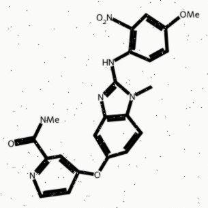 CNC(=O)c1cc(Oc2ccc3c(c2)nc(Nc2ccc(OC)cc2[N+](=O)[O-])n3C)ccn1